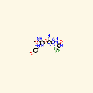 COC(=N)c1cc(Oc2cnc3nc(Nc4cc(C(F)(F)F)cn(C)c4=O)n(C)c3c2C#N)cnc1NCc1ccc(OC)cc1